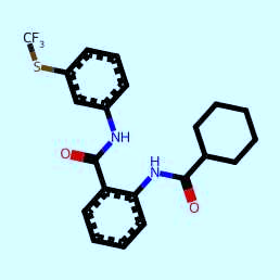 O=C(Nc1cccc(SC(F)(F)F)c1)c1ccccc1NC(=O)C1CCCCC1